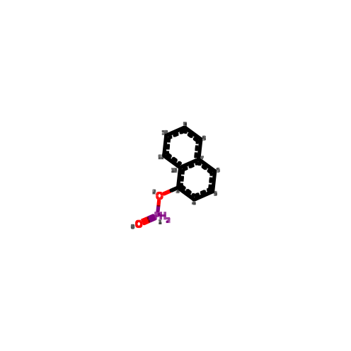 O=[PH2]Oc1cccc2ccccc12